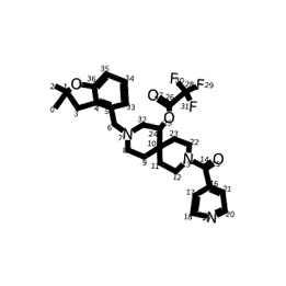 CC1(C)Cc2c(CN3CCC4(CCN(C(=O)c5ccncc5)CC4)C(OC(=O)C(F)(F)F)C3)cccc2O1